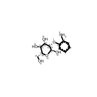 Nc1ccccc1O[C@H]1[C@@H](O)[C@H](O)[C@@H](CO)O[C@@H]1O